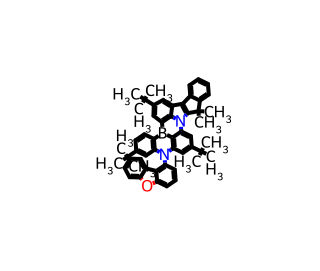 CC(C)(C)c1ccc2c(c1)N(c1cccc3oc4ccccc4c13)c1cc(C(C)(C)C)cc3c1B2c1cc(C(C)(C)C)cc2c4c(n-3c12)C(C)(C)c1ccccc1-4